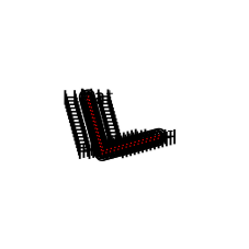 O=C(O)O.O=C(O)O.O=C(O)O.O=C(O)O.O=C(O)O.O=C(O)O.O=C(O)O.O=C(O)O.O=C(O)O.O=C(O)O.O=C(O)O.O=C(O)O.O=C(O)O.O=C(O)O.O=C(O)O.O=C(O)O.O=C(O)O.O=C(O)O.O=C(O)O.O=C(O)O.O=C(O)O.O=C(O)O.O=C(O)O.O=C(O)O.O=C(O)O.O=C(O)O.O=C(O)O.O=C(O)O.O=C(O)O.O=C([O-])O.[Na+]